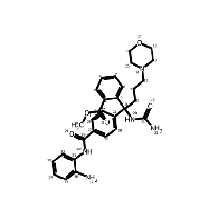 COC(=O)c1ccccc1C(CCCN1CCOCC1)(NC(N)=O)c1ccc(C(=O)Nc2ccccc2N)cc1